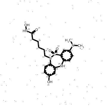 CN(C)c1ccc2c(c1)S(=O)(=O)N(CCCCCC(=O)NO)c1ccc(O)cc1N2